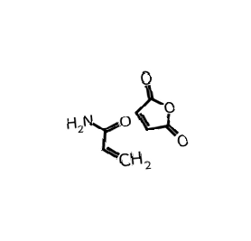 C=CC(N)=O.O=C1C=CC(=O)O1